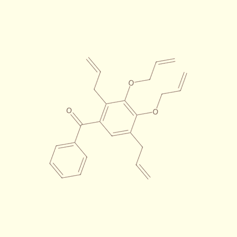 C=CCOc1c(CC=C)cc(C(=O)c2ccccc2)c(CC=C)c1OCC=C